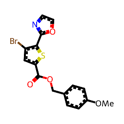 COc1ccc(COC(=O)c2cc(Br)c(-c3ncco3)s2)cc1